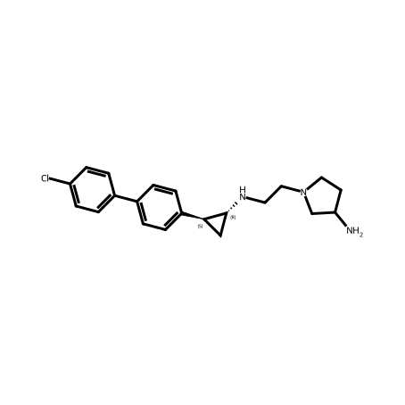 NC1CCN(CCN[C@@H]2C[C@H]2c2ccc(-c3ccc(Cl)cc3)cc2)C1